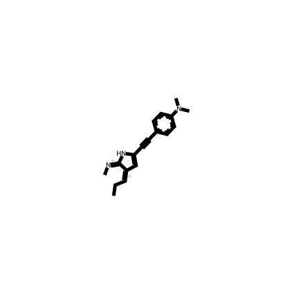 CC/C=C1/C=C(C#Cc2ccc(N(C)C)cc2)N/C1=N/C